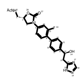 CC(=O)NC[C@H]1CN(c2ccc(-c3ccc([C@@H](O)Cc4ncn[nH]4)cc3)c(F)c2)C(=O)O1